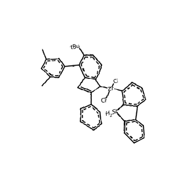 Cc1cc(C)cc(-c2c(C(C)(C)C)ccc3c2C=C(c2ccccc2)[CH]3[Zr]([Cl])([Cl])[c]2cccc3c2[SiH2]c2ccccc2-3)c1